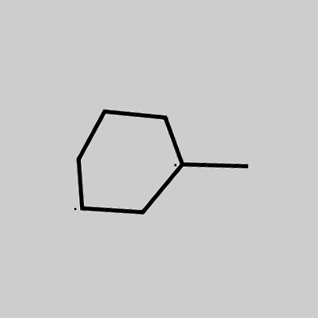 C[C]1C[CH]CCC1